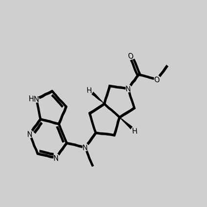 COC(=O)N1C[C@H]2CC(N(C)c3ncnc4[nH]ccc34)C[C@H]2C1